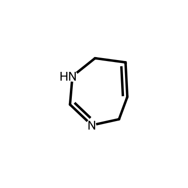 C1=CCNC=NC1